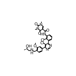 COc1cc(-c2ncnc(-c3cccc(NC(=O)c4cn(C)c(=O)n(C)c4=O)c3Cl)c2Cl)ccc1CNC[C@@H](C)O